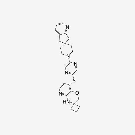 c1cnc2c(c1)CC1(CCN(c3cnc(Sc4ccnc5c4OCC4(CCC4)N5)cn3)CC1)C2